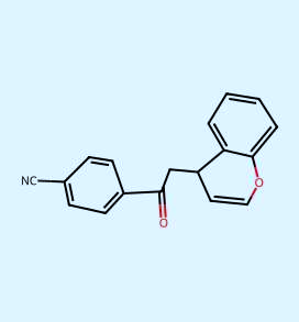 N#Cc1ccc(C(=O)CC2C=COc3ccccc32)cc1